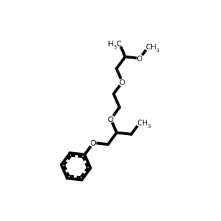 CCC(COc1ccccc1)OCCOCC(C)OC